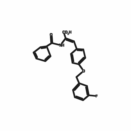 O=C(O)/C(=C/c1ccc(OCc2cccc(F)c2)cc1)NC(=O)c1ccccc1